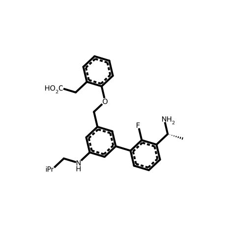 CC(C)CNc1cc(COc2ccccc2CC(=O)O)cc(-c2cccc([C@@H](C)N)c2F)c1